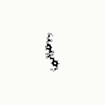 CCOC(=O)Oc1ccc(C(=O)NS(=O)(=O)CCc2ccc(OC)cc2)cn1